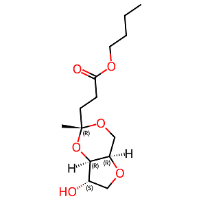 CCCCOC(=O)CC[C@]1(C)OC[C@H]2OC[C@H](O)[C@H]2O1